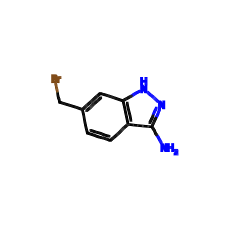 Nc1n[nH]c2cc(CBr)ccc12